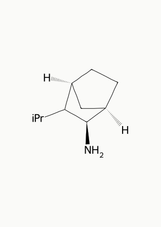 CC(C)C1[C@H]2CC[C@H](C2)[C@H]1N